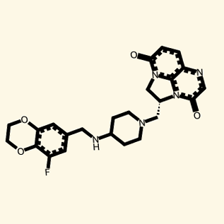 O=c1ccc2ncc(=O)n3c2n1C[C@H]3CN1CCC(NCc2cc(F)c3c(c2)OCCO3)CC1